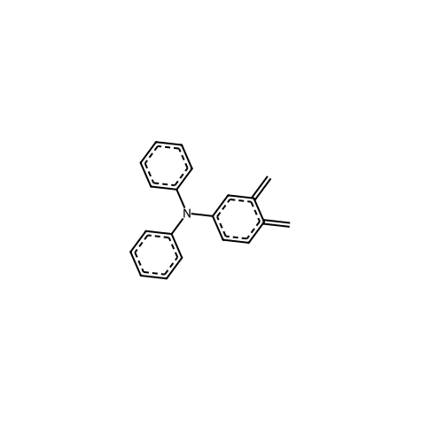 C=c1ccc(N(c2ccccc2)c2ccccc2)cc1=C